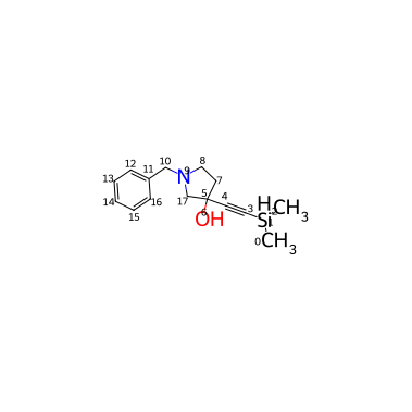 C[SiH](C)C#CC1(O)CCN(Cc2ccccc2)C1